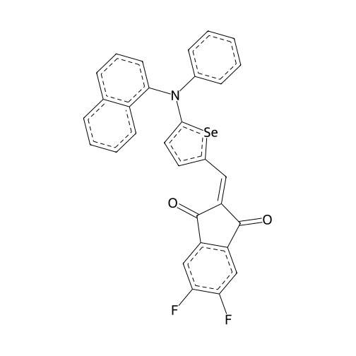 O=C1C(=Cc2ccc(N(c3ccccc3)c3cccc4ccccc34)[se]2)C(=O)c2cc(F)c(F)cc21